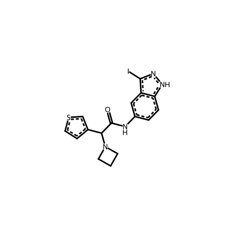 O=C(Nc1ccc2[nH]nc(I)c2c1)C(c1ccsc1)N1CCC1